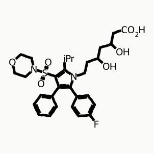 CC(C)c1c(S(=O)(=O)N2CCOCC2)c(-c2ccccc2)c(-c2ccc(F)cc2)n1CCC(O)CC(O)CC(=O)O